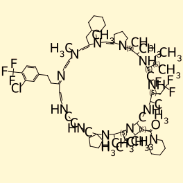 CC[C@H](C)[C@H]1CN[C@@H](CC(F)(F)F)C(C)NCC2[C@@H](C(=O)N3CCCCC3)C(C)N2[C@@H](C(C)C)C(C)NC2(CCCC2)CNCCNC=CC(CCc2ccc(C(F)(F)F)c(Cl)c2)=NC=CN(C)C=C(CC2CCCCC2)N(C)C=C2CCCN2[C@@H](C)C(C)N1